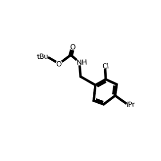 CC(C)c1ccc(CNC(=O)OC(C)(C)C)c(Cl)c1